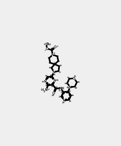 CC(C)(C)OC(=O)N1CCC2(CC1)CCN(c1cnc(N)c(C(=O)Nc3cnccc3N3CCOCC3)n1)C2